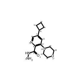 NNC(=O)c1ncc(C2CCC2)cc1N1CCOCC1